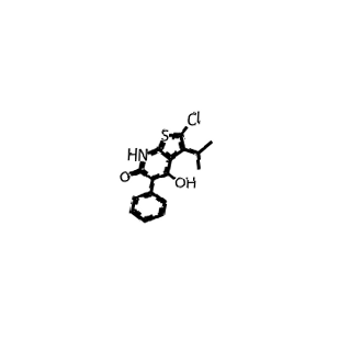 CC(C)c1c(Cl)sc2[nH]c(=O)c(-c3ccccc3)c(O)c12